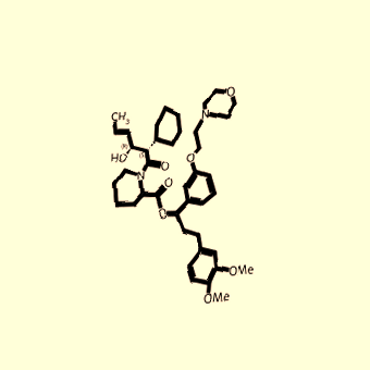 CC=C[C@@H](O)[C@@H](C(=O)N1CCCCC1C(=O)OC(CCc1ccc(OC)c(OC)c1)c1cccc(OCCN2CCOCC2)c1)C1CCCCC1